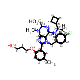 Cc1ccc(OCCCO)c(-c2nc3c(n2Cc2ccc(Cl)cc2)C(N[C@H](C)C2CCC2)=NC(C(=O)O)N3C)c1